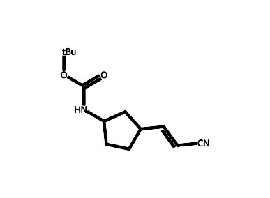 CC(C)(C)OC(=O)NC1CCC(/C=C/C#N)C1